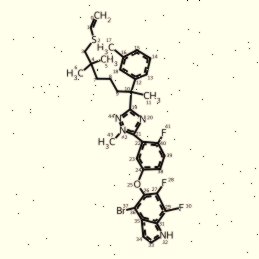 C=CSCC(C)(C)CCCC(C)(c1cccc(C)c1)c1nc(-c2cc(Oc3c(F)c(F)c4[nH]ccc4c3Br)ccc2F)n(C)n1